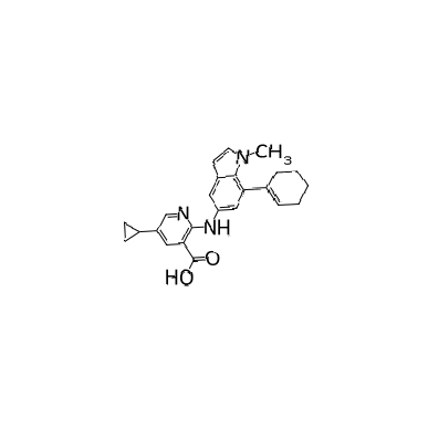 Cn1ccc2cc(Nc3ncc(C4CC4)cc3C(=O)O)cc(C3=CCCCC3)c21